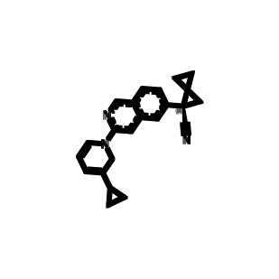 N#C[C@]1(c2ccc3cnc(N4C=CC=C(C5CC5)C4)cc3c2)CC12CC2